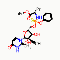 C#C[C@@]1(O)[C@H](O)[C@@H](COP(=S)(N[C@H](C(=O)OC(C)C)C(C)C)Oc2ccccc2)O[C@H]1N1C=CC(=O)NC1=C